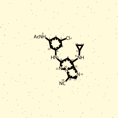 CC(=O)Nc1cc(Cl)cc(Nc2cc(NC3CC3)c3ncc(C#N)n3n2)c1